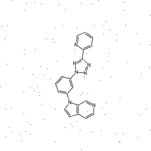 c1ccc(-c2nnn(-c3cccc(-n4ccc5ccncc54)c3)n2)nc1